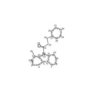 Cc1nccc2c3ccccc3n(C(=O)CCc3ccccc3)c12